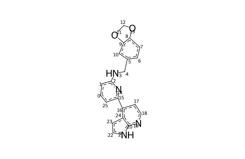 c1cc(NCc2ccc3c(c2)OCO3)nc(-c2ccnc3[nH]ccc23)c1